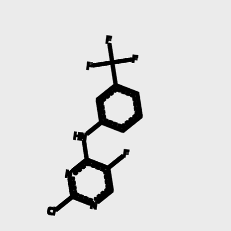 Fc1cnc(Cl)nc1Nc1cccc(C(F)(F)F)c1